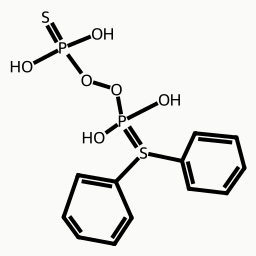 OP(O)(=S)OOP(O)(O)=S(c1ccccc1)c1ccccc1